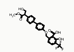 COC(=O)C(CO)c1ccc(-c2ccc(OCc3ccc(C(F)(F)F)c(O)c3C(=O)O)cc2)cc1